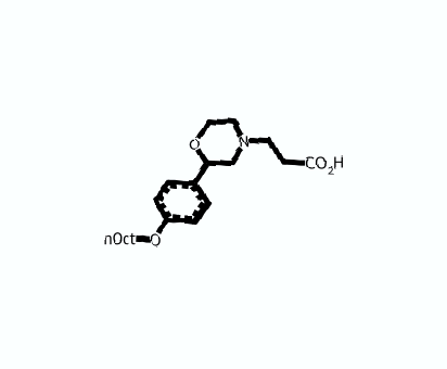 CCCCCCCCOc1ccc(C2CN(CCC(=O)O)CCO2)cc1